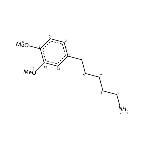 COc1ccc(CCCCCN)cc1OC